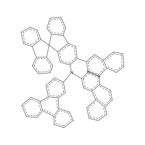 c1ccc2c(c1)-c1ccccc1C21c2ccccc2-c2cc(-c3ccc4ccccc4c3)c(N(c3ccc4ccc5ccccc5c4c3)c3ccc4c5ccccc5c5ccccc5c4c3)cc21